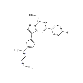 C/C=C\C=C(/C)c1ccc(-c2noc([C@H](CO)NC(=O)c3ccc(F)cc3)n2)s1